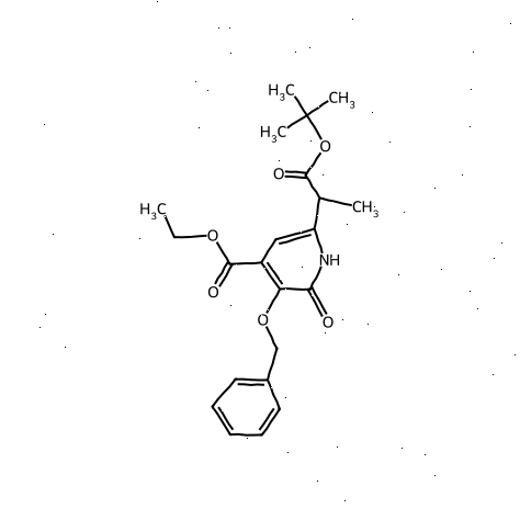 CCOC(=O)c1cc(C(C)C(=O)OC(C)(C)C)[nH]c(=O)c1OCc1ccccc1